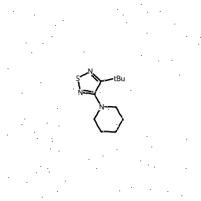 CC(C)(C)c1nsnc1N1CCCCC1